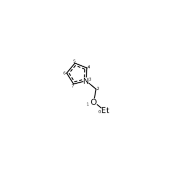 CCOCn1cccc1